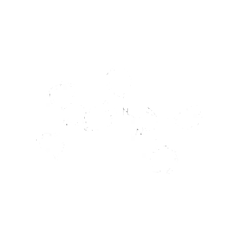 c1ccc(-c2nc(-n3c4ccccc4c4c5c6ccccc6n(-c6ccccc6)c5ccc43)sc2-c2ccccc2)cc1